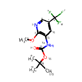 COc1ncc(C(F)(F)F)cc1NC(=O)OC(C)(C)C